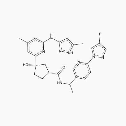 Cc1cc(Nc2cc(C)[nH]n2)nc([C@]2(O)CC[C@@H](C(=O)NC(C)c3ccc(-n4cc(F)cn4)nc3)C2)c1